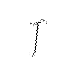 C=CCC(C)CC=CCCCCCCCCCCCCCCC